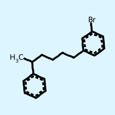 CC(CCCCc1cccc(Br)c1)c1ccccc1